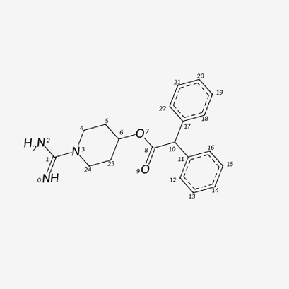 N=C(N)N1CCC(OC(=O)C(c2ccccc2)c2ccccc2)CC1